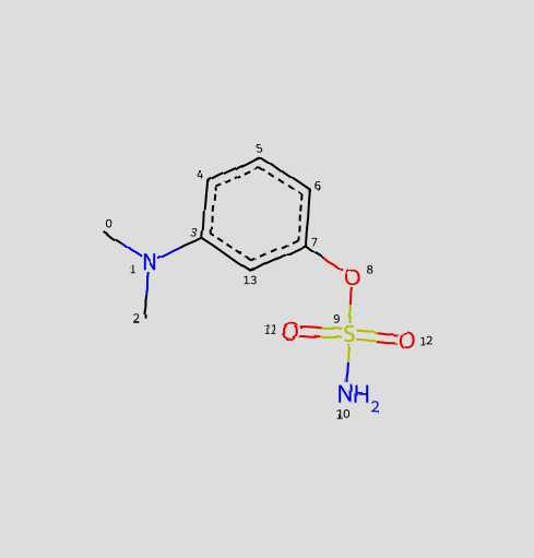 CN(C)c1cccc(OS(N)(=O)=O)c1